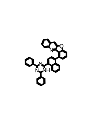 c1ccc(C2=NC(c3ccccc3)NC(c3ccc(-c4cccc5oc6cc7ccccc7nc6c45)c4ccccc34)=N2)cc1